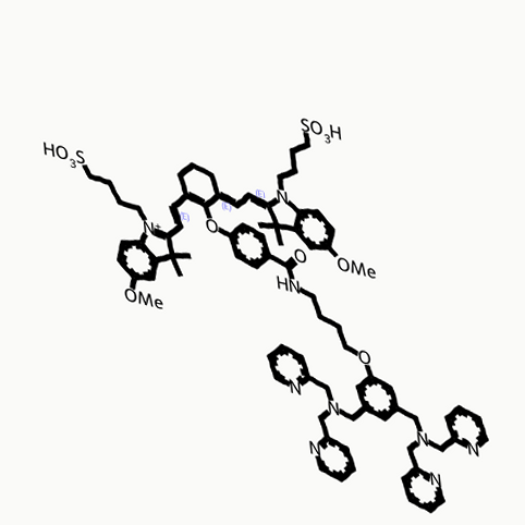 COc1ccc2c(c1)C(C)(C)C(/C=C/C1=C(Oc3ccc(C(=O)NCCCCOc4cc(CN(Cc5ccccn5)Cc5ccccn5)cc(CN(Cc5ccccn5)Cc5ccccn5)c4)cc3)C(=C/C=C3/N(CCCCS(=O)(=O)O)c4ccc(OC)cc4C3(C)C)/CCC1)=[N+]2CCCCS(=O)(=O)O